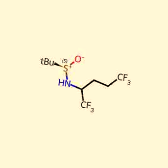 CC(C)(C)[S@@+]([O-])NC(CCC(F)(F)F)C(F)(F)F